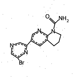 NC(=O)N1CCCc2cc(-c3cncc(Br)n3)cnc21